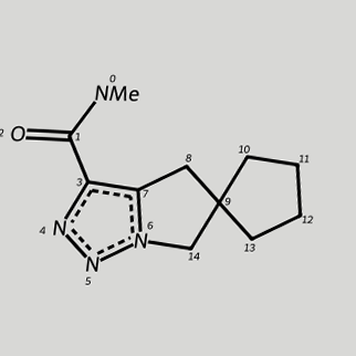 CNC(=O)c1nnn2c1CC1(CCCC1)C2